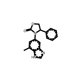 Cc1cc(N2C(=O)OCC2c2ccccc2)cc2nc[nH]c12